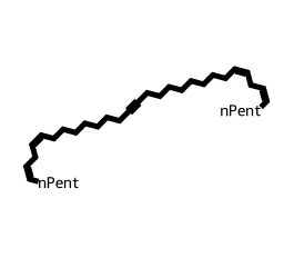 CCCCC/C=C\C/C=C\CCCCCCCC#CCCCCCCCC/C=C\C/C=C\CCCCC